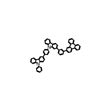 c1ccc(-n2c3ccccc3c3cc(-c4ccc(-n5c6ccccc6c6ccc(-c7cccc(-c8ccc9c%10ccccc%10c%10ccccc%10c9c8)c7)cc65)cc4)ccc32)cc1